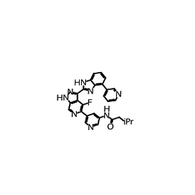 CC(C)CC(=O)Nc1cncc(-c2ncc3[nH]nc(-c4nc5c(-c6cccnc6)cccc5[nH]4)c3c2F)c1